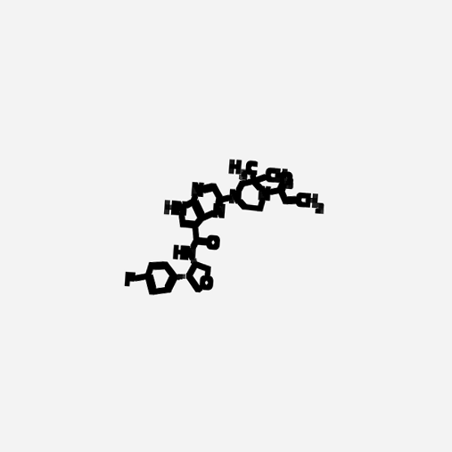 C=CC(=O)N1CCN(c2cnc3[nH]cc(C(=O)N[C@@H]4COC[C@@H]4c4ccc(F)cc4)c3n2)CC1(C)C